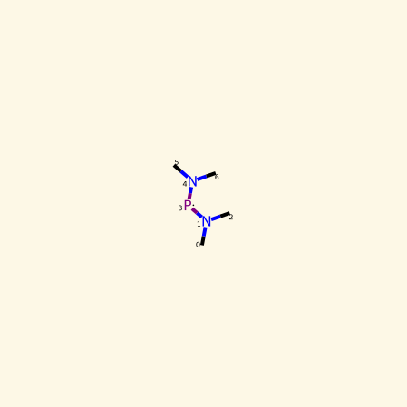 CN(C)[P]N(C)C